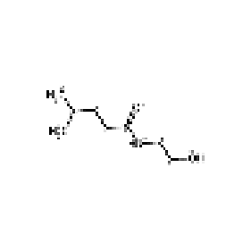 CC(C)CCC(=O)NCCO